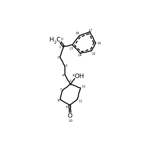 C=C(CCCC1(O)CCC(=O)CC1)c1ccccc1